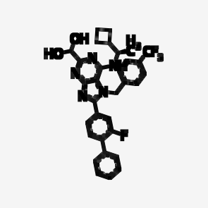 C[C@@H](Nc1nc(C(O)O)nc2nc(-c3ccc(-c4ccccc4)c(F)c3)n(Cc3ccc(C(F)(F)F)cc3)c12)C1CCC1